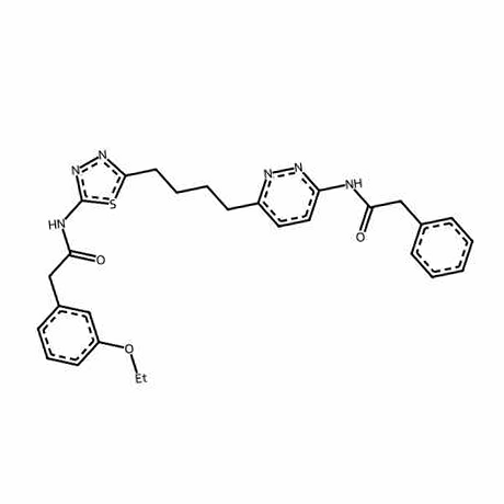 CCOc1cccc(CC(=O)Nc2nnc(CCCCc3ccc(NC(=O)Cc4ccccc4)nn3)s2)c1